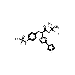 CC(C)(C)OC(=O)C(Cc1ccc(NS(=O)(=O)O)cc1)c1nc(-c2ccsc2)cs1